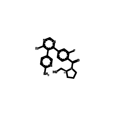 CCc1ncnc(-c2ccc(C(=O)N3CCC[C@H]3CO)c(F)c2)c1-c1ccc(N)nc1